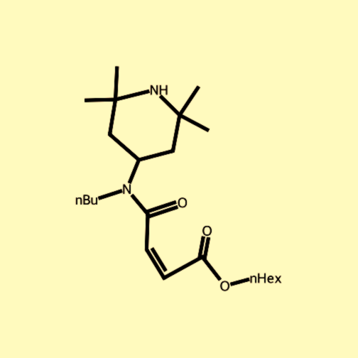 CCCCCCOC(=O)/C=C\C(=O)N(CCCC)C1CC(C)(C)NC(C)(C)C1